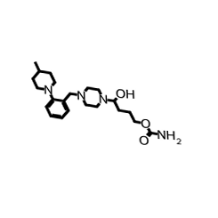 CC1CCN(c2ccccc2CN2CCN(C(O)CCCOC(N)=O)CC2)CC1